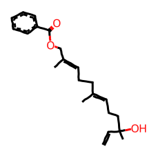 C=CC(C)(O)CC/C=C(\C)CC/C=C(\C)COC(=O)c1ccccc1